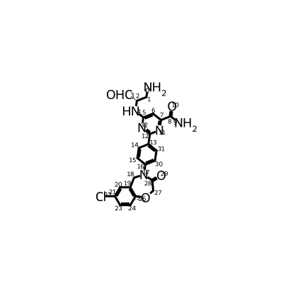 NC[C@@H](C=O)Nc1cc(C(N)=O)nc(-c2ccc(N3Cc4cc(Cl)ccc4OCC3=O)cc2)n1